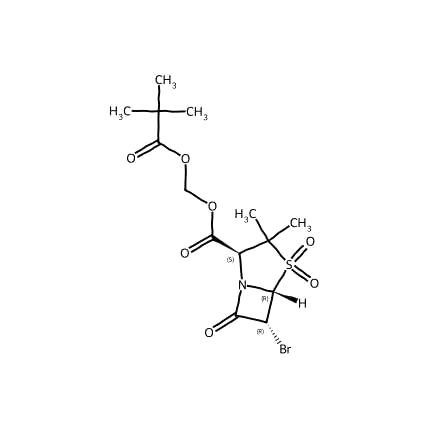 CC(C)(C)C(=O)OCOC(=O)[C@@H]1N2C(=O)[C@@H](Br)[C@H]2S(=O)(=O)C1(C)C